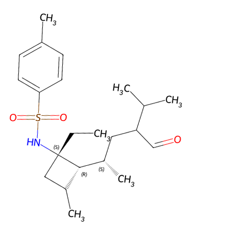 CC[C@]1(NS(=O)(=O)c2ccc(C)cc2)CC(C)[C@H]1[C@@H](C)CC(C=O)C(C)C